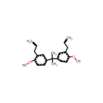 C=CCc1cc(C(C)(C)c2ccc(OC#N)c(CC=C)c2)ccc1OC#N